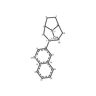 CN1C2CCC1CN(c1cnc3ccccc3c1)CC2